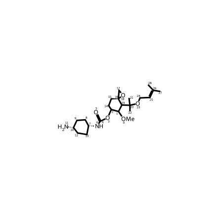 COC1C(OC(=O)N[C@H]2CC[C@@H](N)CC2)CC[C@]2(CO2)C1C(C)(C)OCC=C(C)C